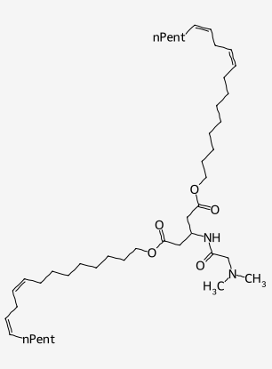 CCCCC/C=C\C/C=C\CCCCCCCCOC(=O)CC(CC(=O)OCCCCCCCC/C=C\C/C=C\CCCCC)NC(=O)CN(C)C